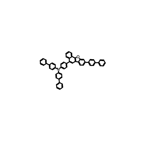 c1ccc(-c2ccc(-c3ccc4c(c3)oc3c5ccccc5c(-c5ccc(N(c6ccc(-c7ccccc7)cc6)c6ccc(-c7ccccc7)cc6)cc5)cc43)cc2)cc1